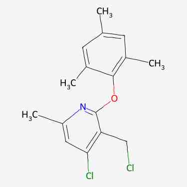 Cc1cc(C)c(Oc2nc(C)cc(Cl)c2CCl)c(C)c1